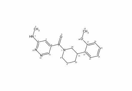 CNc1cc(C(=O)N2CCCC(c3ccccc3OC)C2)cnn1